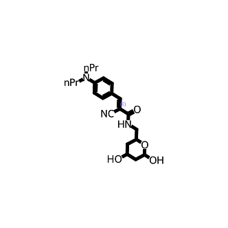 CCCN(CCC)c1ccc(/C=C(\C#N)C(=O)NCC2CC(O)CC(O)O2)cc1